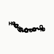 O=NC(=O)CCc1ccc(OCc2ccc(CN3CCN(c4ccc(O)cc4)CC3)cc2)cc1